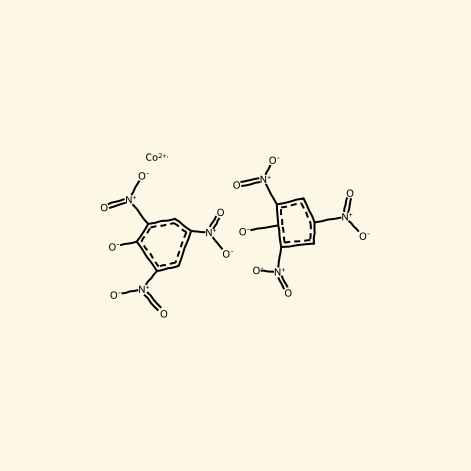 O=[N+]([O-])c1cc([N+](=O)[O-])c([O-])c([N+](=O)[O-])c1.O=[N+]([O-])c1cc([N+](=O)[O-])c([O-])c([N+](=O)[O-])c1.[Co+2]